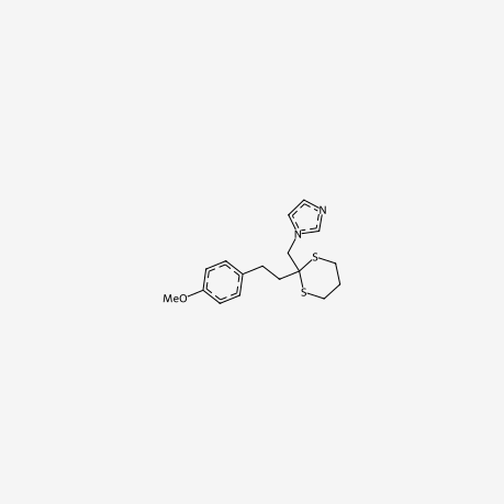 COc1ccc(CCC2(Cn3ccnc3)SCCCS2)cc1